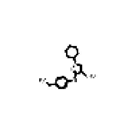 O=Cc1cn(C2CCCCC2)nc1Nc1ccc(CC(F)(F)F)cc1